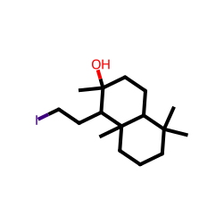 CC1(C)CCCC2(C)C1CCC(C)(O)C2CCI